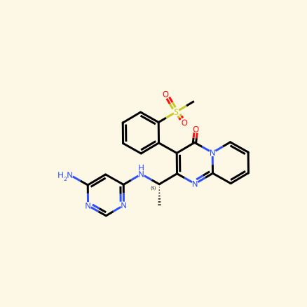 C[C@H](Nc1cc(N)ncn1)c1nc2ccccn2c(=O)c1-c1ccccc1S(C)(=O)=O